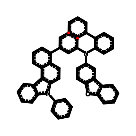 c1ccc(-c2ccccc2N(c2cccc(-c3cccc4c3ccc3c4c4ccccc4n3-c3ccccc3)c2)c2ccc3oc4ccccc4c3c2)cc1